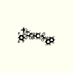 CC(C)(C)OC(=O)C[C@H](NC(=O)C1CCN(C(=O)C(=O)Nc2cccc3ccccc23)CC1)C(O)COc1c(F)c(F)cc(F)c1F